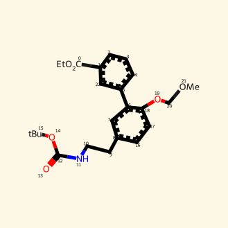 CCOC(=O)c1cccc(-c2cc(CCNC(=O)OC(C)(C)C)ccc2OCOC)c1